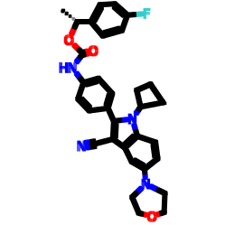 C[C@@H](OC(=O)Nc1ccc(-c2c(C#N)c3cc(N4CCOCC4)ccc3n2C2CCC2)cc1)c1ccc(F)cc1